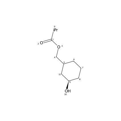 CC(C)C(=O)OCC1CCC[C@@H](O)C1